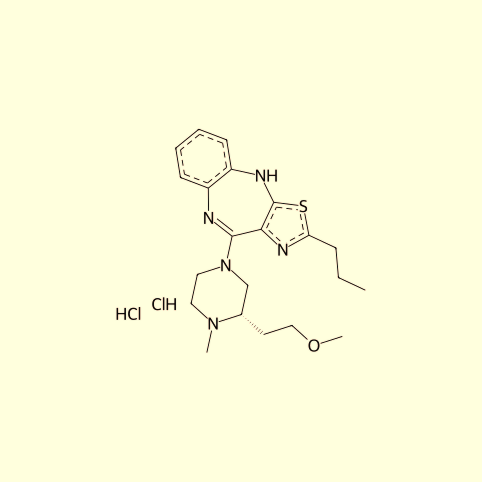 CCCc1nc2c(s1)Nc1ccccc1N=C2N1CCN(C)[C@@H](CCOC)C1.Cl.Cl